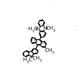 Cc1ccc2c(-c3ccc4c(c3)N(C)c3ccccc3N4C)c3ccccc3c(-c3ccc4c(c3)-c3ccccc3C4(C)C)c2c1